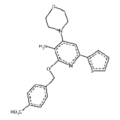 Nc1c(N2CCOCC2)cc(-c2cccs2)nc1OCc1ccc(C(=O)O)cc1